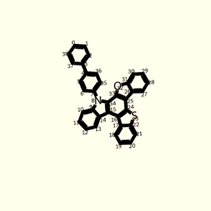 c1ccc(-c2ccc(-n3c4ccccc4c4c5c6ccccc6sc5c5c6ccccc6oc5c43)cc2)cc1